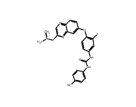 CN(C)Cc1cnc2ccc(Oc3ccc(NC(=O)Nc4ccc(C#N)cc4)cc3F)cc2n1